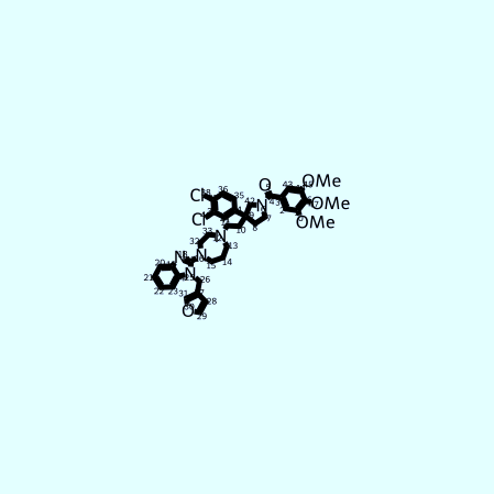 COc1cc(C(=O)N2CCC(CCN3CCCN(c4nc5ccccc5n4Cc4ccoc4)CC3)(c3ccc(Cl)c(Cl)c3)C2)cc(OC)c1OC